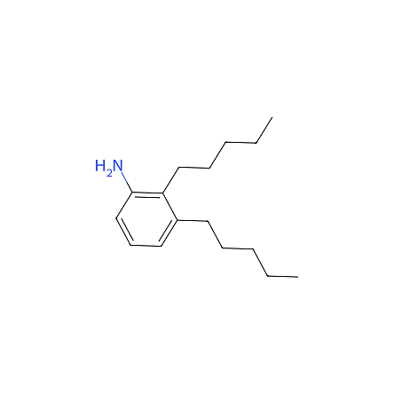 CCCCCc1cccc(N)c1CCCCC